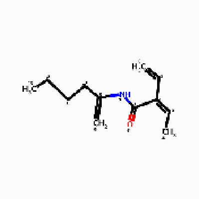 C=C/C(=C/C)C(=O)NC(=C)CCCC